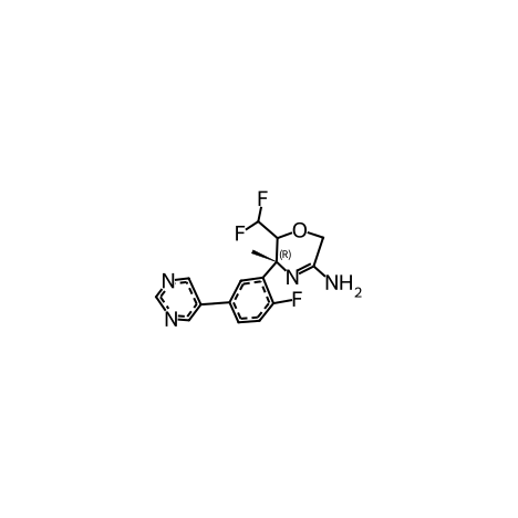 C[C@]1(c2cc(-c3cncnc3)ccc2F)N=C(N)COC1C(F)F